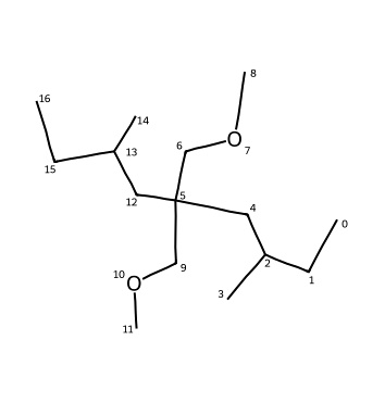 CCC(C)CC(COC)(COC)CC(C)CC